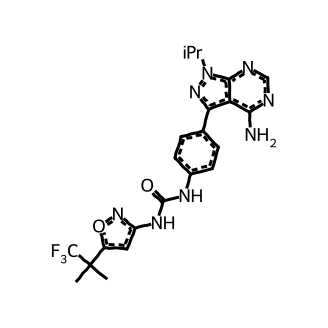 CC(C)n1nc(-c2ccc(NC(=O)Nc3cc(C(C)(C)C(F)(F)F)on3)cc2)c2c(N)ncnc21